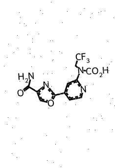 NC(=O)c1coc(-c2ccnc(N(CC(F)(F)F)C(=O)O)c2)n1